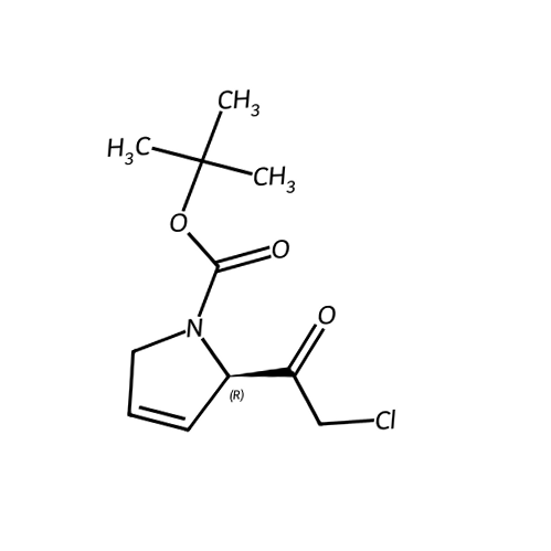 CC(C)(C)OC(=O)N1CC=C[C@@H]1C(=O)CCl